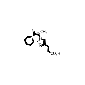 C[C@@H](C(=O)N1CCCCC1)n1cc(CCC(=O)O)nn1